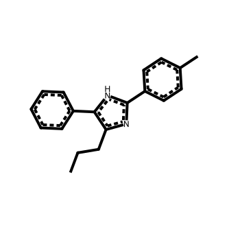 CCCc1nc(-c2ccc(C)cc2)[nH]c1-c1ccccc1